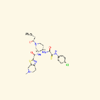 COCC(=O)N1CC[C@H](NC(=O)C(=S)Nc2ccc(Cl)cc2)[C@H](NC(=O)c2nc3c(s2)CN(C)CC3)C1